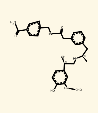 C[C@H](Cc1cccc(CC(=O)NCc2ccc(C(N)=O)cc2)c1)NC[C@H](O)c1ccc(O)c(NC=O)c1